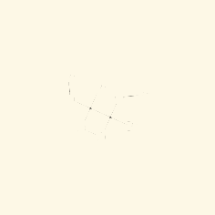 BrOC1(Br)OOC1(Br)OBr